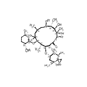 CCCN1C[C@H](C)C[C@@](C)(O)[C@H](O[C@@H]2O[C@H](C)CC[C@H]2O)[C@@H](C)[C@H](O[C@H]2C[C@@](C)(OC)[C@]3(CO3)[C@H](C)O2)[C@@H](C)C(=O)O[C@H](CC)[C@@](C)(O)[C@H](O)[C@H]1C